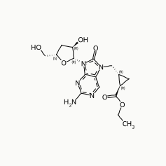 CCOC(=O)[C@@H]1C[C@H]1Cn1c(=O)n([C@@H]2O[C@H](CO)C[C@H]2O)c2nc(N)ncc21